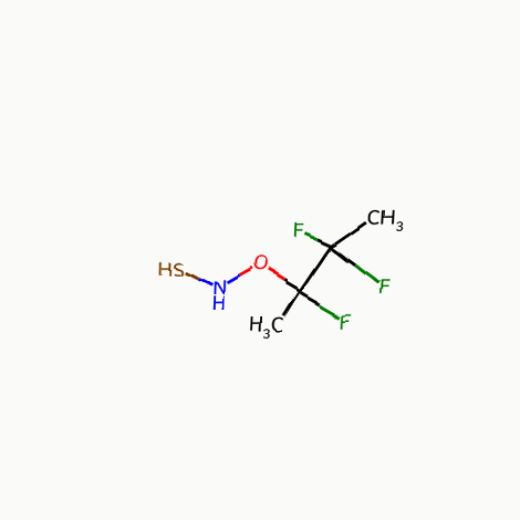 CC(F)(F)C(C)(F)ONS